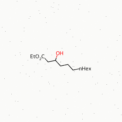 CCCCCCCCCC(O)CC(=O)OCC